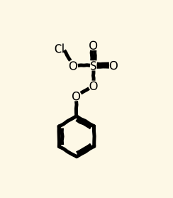 O=S(=O)(OCl)OOc1ccccc1